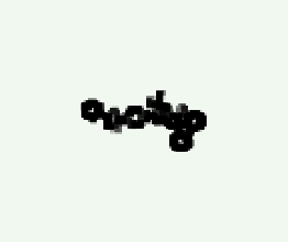 O=C(NCC(F)(F)F)C1(CCCCN2CCN(c3ncc(-c4ccccc4)o3)CC2)c2ccccc2-c2ccccc21